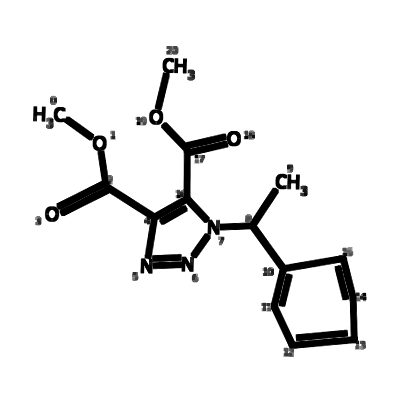 COC(=O)c1nnn(C(C)c2ccccc2)c1C(=O)OC